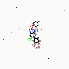 Clc1cc2nc(OC3CCCCC3)[nH]c2nc1-c1ccc2c(c1)OCCO2